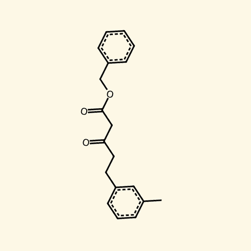 Cc1cccc(CCC(=O)CC(=O)OCc2ccccc2)c1